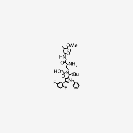 COC(=O)C(C)CC(=O)NCC(=O)C(N)CCN(C(=O)CO)C(c1cc(-c2cc(F)ccc2F)cn1Cc1ccccc1)C(C)(C)C